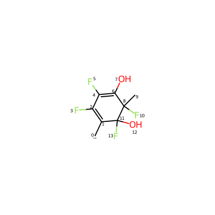 [CH]C1=C(F)C(F)=C(O)C(C)(F)C1(O)F